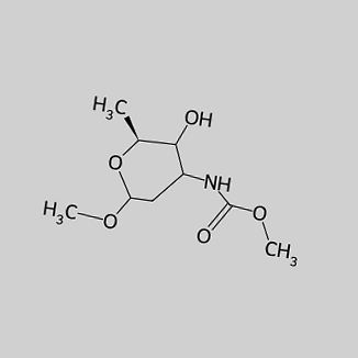 COC(=O)NC1CC(OC)O[C@@H](C)C1O